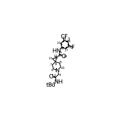 CC(C)(C)NC(=O)CN1CCC2(CC1)C[C@H]2C(=O)Nc1cc(F)cc(C(F)(F)F)c1